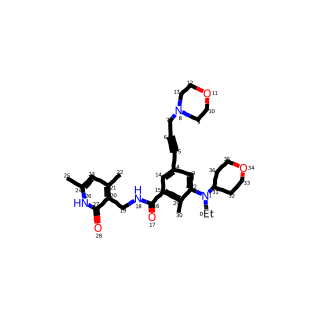 CCN(c1cc(C#CCN2CCOCC2)cc(C(=O)NCc2c(C)cc(C)[nH]c2=O)c1C)C1CCOCC1